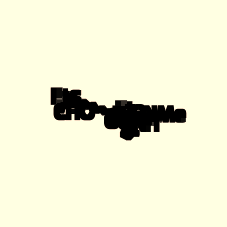 CCN(CCC=O)SCCCCCCCC[S+]([O-])N(CC)CCC1CCC(C)N1C(=O)NC(=O)C(C)NC